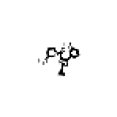 Cc1cccc(-c2sc(C3CC3)nc2C(=O)N2CCCC(N)C2)c1